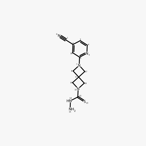 N#Cc1ccnc(N2CC3(CN(C(=S)NN)C3)C2)c1